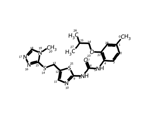 Cc1ccc(NC(=O)Nc2ncc(CSc3nncn3C)s2)c(OCC(C)C)c1